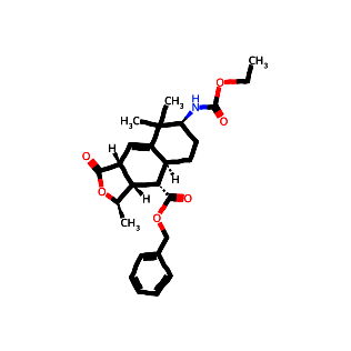 CCOC(=O)N[C@H]1CC[C@@H]2C(=C[C@H]3C(=O)O[C@H](C)[C@H]3[C@H]2C(=O)OCc2ccccc2)C1(C)C